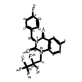 Cc1ccc2c(c1)c(=O)n(Cc1ccc(F)cc1)c(=O)n2CC(F)(F)C(F)(F)F